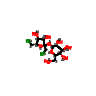 OC[C@H]1O[C@H](O[C@]2(CCl)O[C@H](CCl)[C@@H](O)[C@@H]2O)[C@H](O)[C@@H](O)[C@@H]1O